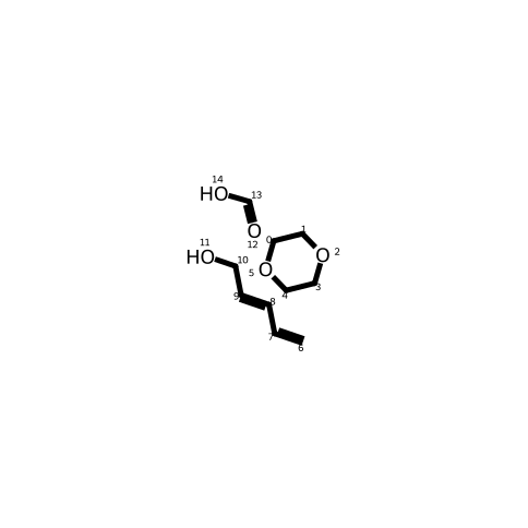 C1COCCO1.C=CC=CCO.O=CO